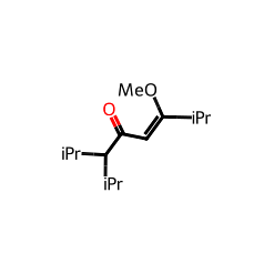 CO/C(=C\C(=O)C(C(C)C)C(C)C)C(C)C